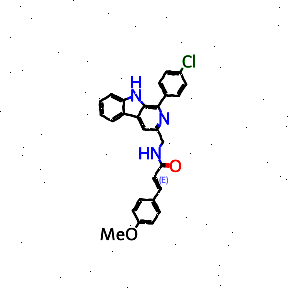 COc1ccc(/C=C/C(=O)NCc2cc3c([nH]c4ccccc43)c(-c3ccc(Cl)cc3)n2)cc1